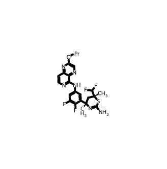 CC(C)Oc1cnc2c(Nc3cc(F)c(F)c([C@]4(C)C[C@](C)(C(F)F)SC(N)=N4)c3)nccc2n1